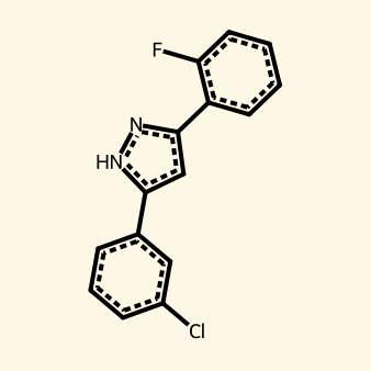 Fc1ccccc1-c1cc(-c2cccc(Cl)c2)[nH]n1